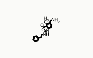 Cc1c(CN)ccc2nc(NCCc3ccccc3)oc(=O)c12